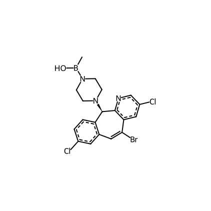 CB(O)N1CCN([C@@H]2c3ccc(Cl)cc3C=C(Br)c3cc(Cl)cnc32)CC1